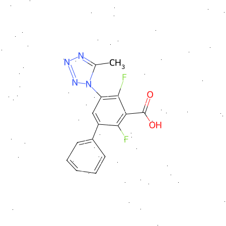 Cc1nnnn1-c1cc(-c2ccccc2)c(F)c(C(=O)O)c1F